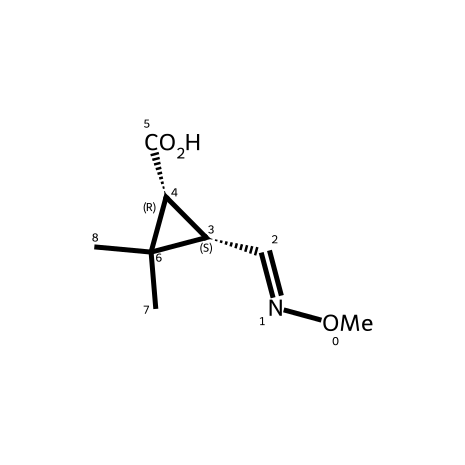 CON=C[C@H]1[C@@H](C(=O)O)C1(C)C